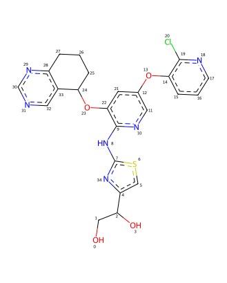 OCC(O)c1csc(Nc2ncc(Oc3cccnc3Cl)cc2OC2CCCc3ncncc32)n1